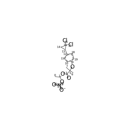 CC(OC(=O)C(C)(C)Oc1ccc(C2CC2(Cl)Cl)cc1)O[N+](=O)[O-]